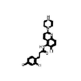 O=C(CCc1ccc(Cl)cc1Cl)Nc1c(Cl)ccc2nc(N3CCNCC3)ccc12